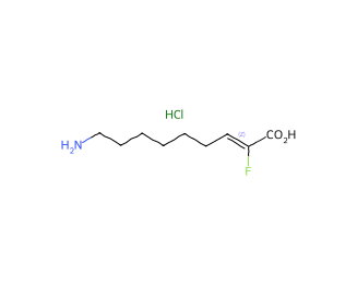 Cl.NCCCCCC/C=C(\F)C(=O)O